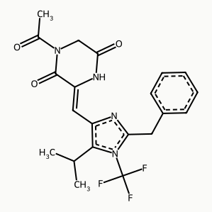 CC(=O)N1CC(=O)NC(=Cc2nc(Cc3ccccc3)n(C(F)(F)F)c2C(C)C)C1=O